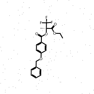 CCOC(=O)[C@@](C)(OC(=O)c1ccc(OCc2ccccc2)cc1)C(F)(F)F